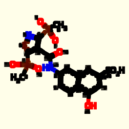 CS(=O)(=O)c1nsc(S(C)(=O)=O)c1C(=O)Nc1ccc2c(O)cc(S(=O)(=O)O)cc2c1